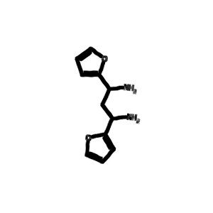 NC(CC(N)c1ccco1)c1ccco1